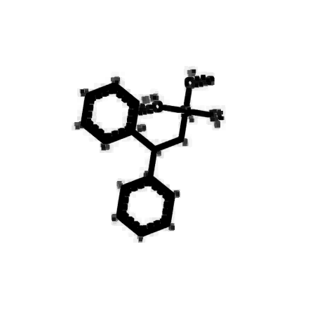 CC[Si](CC(c1ccccc1)c1ccccc1)(OC)OC